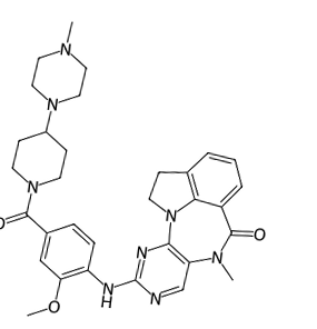 COc1cc(C(=O)N2CCC(N3CCN(C)CC3)CC2)ccc1Nc1ncc2c(n1)N1CCc3cccc(c31)C(=O)N2C